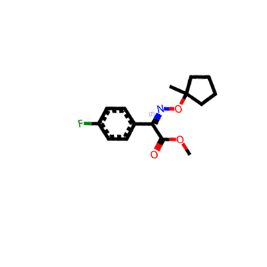 COC(=O)/C(=N\OC1(C)CCCC1)c1ccc(F)cc1